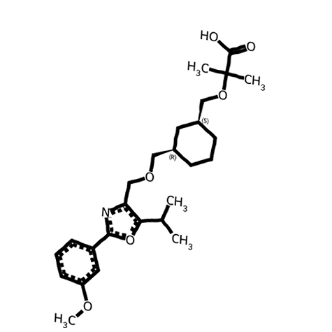 COc1cccc(-c2nc(COC[C@@H]3CCC[C@H](COC(C)(C)C(=O)O)C3)c(C(C)C)o2)c1